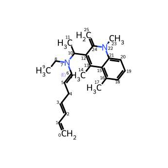 C=CC=CC/C=C/N(CC)C(C)C1=C(C)c2c(C)cccc2N(C)C1=C